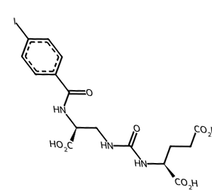 O=C(O)CC[C@H](NC(=O)NC[C@H](NC(=O)c1ccc(I)cc1)C(=O)O)C(=O)O